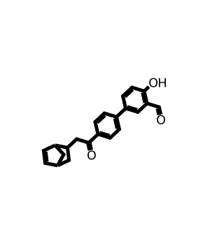 O=Cc1cc(-c2ccc(C(=O)CC3CC4C=CC3C4)cc2)ccc1O